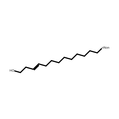 CCCCCCCCCCCCCCCCCCC=CCCO